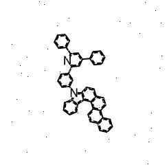 c1ccc(-c2cc(-c3ccccc3)nc(-c3cccc(-n4c5ccccc5c5c6c(ccc7c8ccccc8ccc76)ccc54)c3)c2)cc1